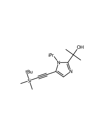 CC(C)n1c(C#C[Si](C)(C)C(C)(C)C)cnc1C(C)(C)O